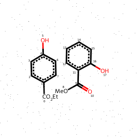 CCOC(=O)c1ccc(O)cc1.COC(=O)c1ccccc1O